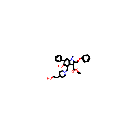 CCOC(=O)C1c2c(cc(-c3ccccc3)c(O)c2CN2CCC(CCO)CC2)N(C)C1COc1ccccc1